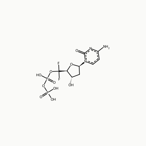 Nc1ccn([C@H]2C[C@H](O)[C@@H](C(F)(F)OP(=O)(O)OP(=O)(O)O)O2)c(=O)n1